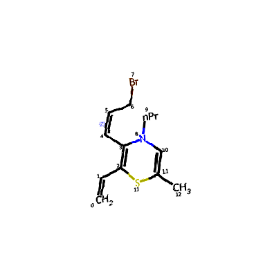 C=CC1=C(/C=C\CBr)N(CCC)C=C(C)S1